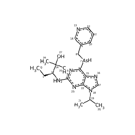 CC[C@H](Nc1nc([AsH]Cc2cccnc2)c2ncn(C(C)C)c2n1)C(C)(C)O